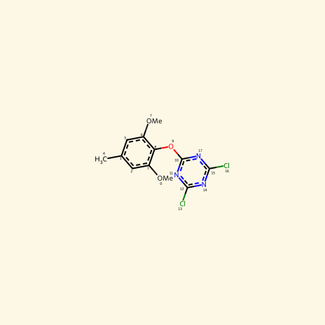 COc1cc(C)cc(OC)c1Oc1nc(Cl)nc(Cl)n1